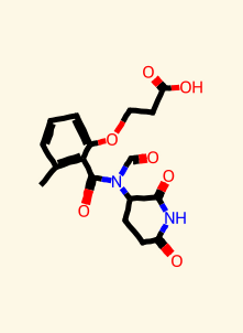 Cc1cccc(OCCC(=O)O)c1C(=O)N(C=O)C1CCC(=O)NC1=O